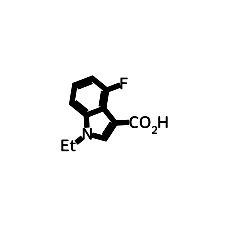 CCn1cc(C(=O)O)c2c(F)cccc21